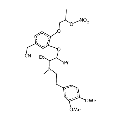 CCC(C(Oc1cc(CC#N)ccc1OCC(C)O[N+](=O)[O-])C(C)C)N(C)CCc1ccc(OC)c(OC)c1